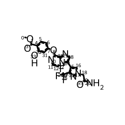 COC(=O)c1ccc(Oc2nccn3c(-c4cn(CC(N)=O)nc4C(F)(F)F)cnc23)cc1O